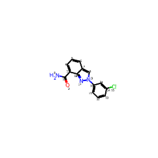 NC(=O)c1cccc2cn(-c3cccc(Cl)c3)nc12